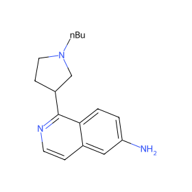 CCCCN1CCC(c2nccc3cc(N)ccc23)C1